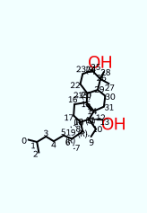 CC(C)CCC[C@@H](C)[C@H]1CC[C@@]2(CO)C3=C(CC[C@]12C)[C@@]1(C)CC[C@H](O)C(C)(C)C1CC3